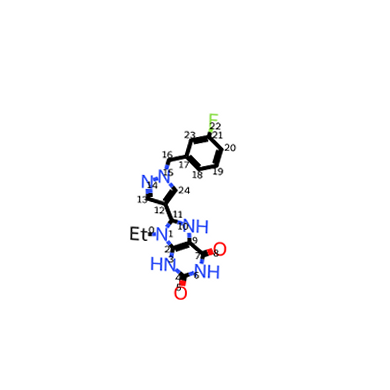 CCN1c2[nH]c(=O)[nH]c(=O)c2NC1c1cnn(Cc2cccc(F)c2)c1